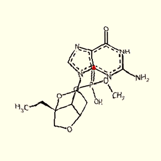 CC[C@@]12COC(CC(n3cnc4c(=O)[nH]c(N)nc43)O1)C2OP(=O)(O)OC